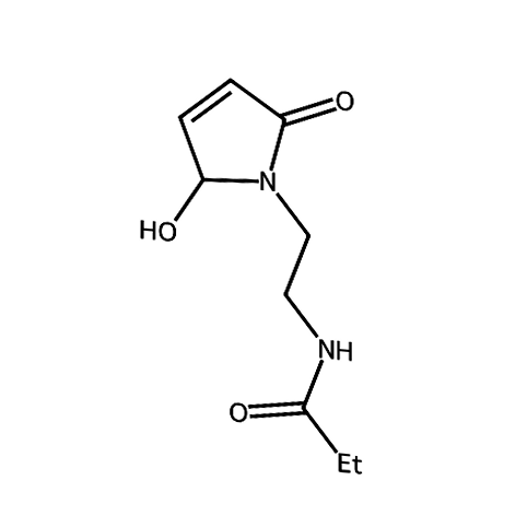 CCC(=O)NCCN1C(=O)C=CC1O